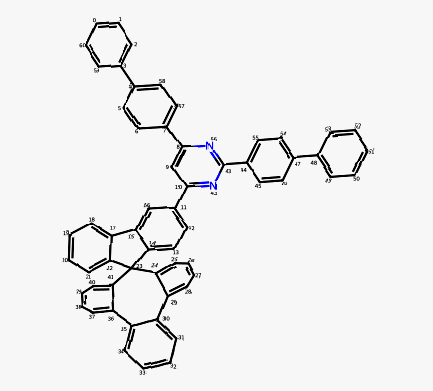 c1ccc(-c2ccc(-c3cc(-c4ccc5c(c4)-c4ccccc4C54c5ccccc5-c5ccccc5-c5ccccc54)nc(-c4ccc(-c5ccccc5)cc4)n3)cc2)cc1